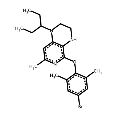 CCC(CC)N1CCNc2c1cc(C)nc2Oc1c(C)cc(Br)cc1C